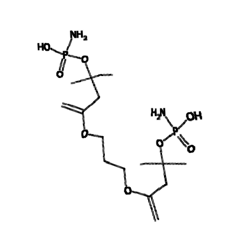 C=C(CC(C)(C)OP(N)(=O)O)OCCCOC(=C)CC(C)(C)OP(N)(=O)O